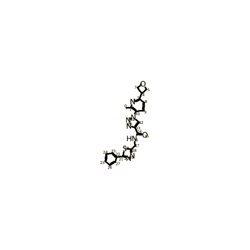 Cc1nc(C2COC2)ccc1-n1cc(C(=O)NCc2nnc(-c3ccccc3)s2)nn1